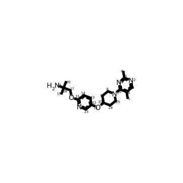 Cc1ncc(C)c(N2CCC(Oc3ccc(OCC(C)(C)N)nc3)CC2)n1